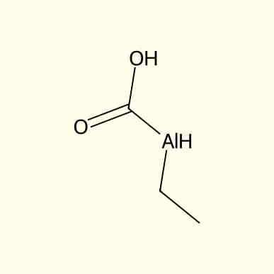 C[CH2][AlH][C](=O)O